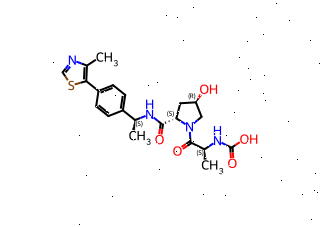 Cc1ncsc1-c1ccc([C@H](C)NC(=O)[C@@H]2C[C@@H](O)CN2C(=O)[C@H](C)NC(=O)O)cc1